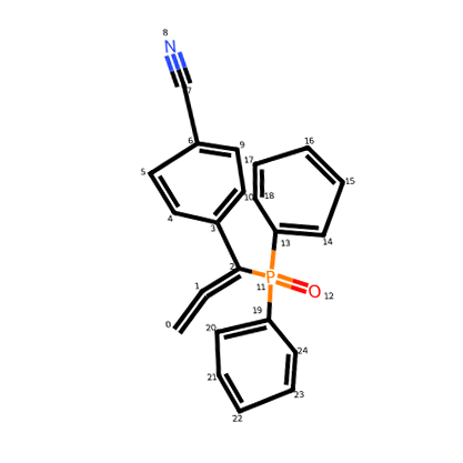 C=C=C(c1ccc(C#N)cc1)P(=O)(c1ccccc1)c1ccccc1